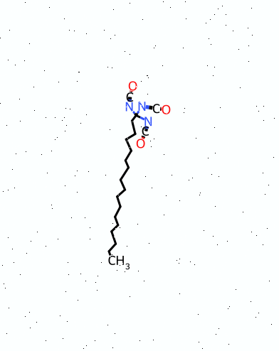 CCCCCCCCCCCCCCCCC(N=C=O)(N=C=O)N=C=O